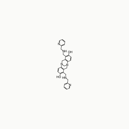 Oc1ccc2c(c1CNCc1ccccn1)CN1CN2Cc2c1ccc(O)c2CNCc1ccccn1